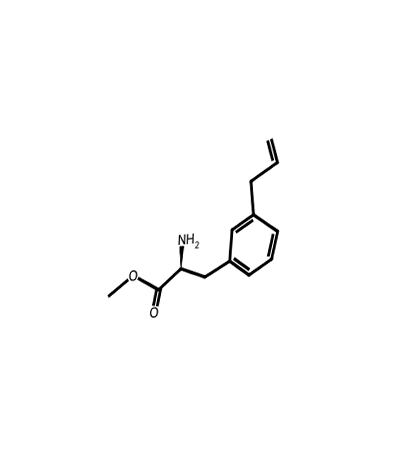 C=CCc1cccc(C[C@H](N)C(=O)OC)c1